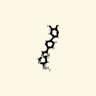 Cc1ccc(-c2ccc(-c3cn4cnc(N)cc4n3)cc2)cc1C